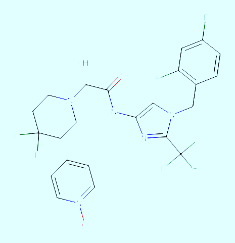 C[C@H](C(=O)Nc1cn(Cc2ccc(F)cc2F)c(C(F)(F)F)n1)N1CCC(F)(F)[C@@H](c2cc[n+]([O-])cc2)C1